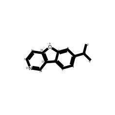 CC(C)c1ccc2c(c1)oc1ccncc12